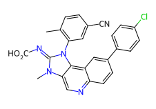 Cc1ccc(C#N)cc1-n1/c(=N/C(=O)O)n(C)c2cnc3ccc(-c4ccc(Cl)cc4)cc3c21